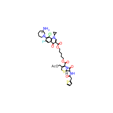 CC(=O)OCC1=C(C(=O)OCCCCCOC(=O)c2cn(C3CC3)c3c(Cl)c(N4CCCC[C@@H](N)C4)c(F)cc3c2=O)N2C(=O)[C@@H](NC(=O)Cc3cccs3)[C@H]2SC1